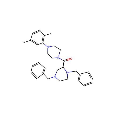 Cc1ccc(C)c(N2CCN(C(=O)C3CN(Cc4ccccc4)CCN3Cc3ccccc3)CC2)c1